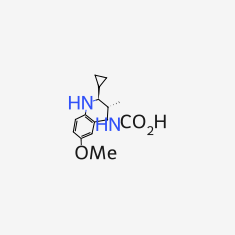 COc1ccc2c(c1)[C@H](NC(=O)O)[C@@H](C)[C@H](C1CC1)N2